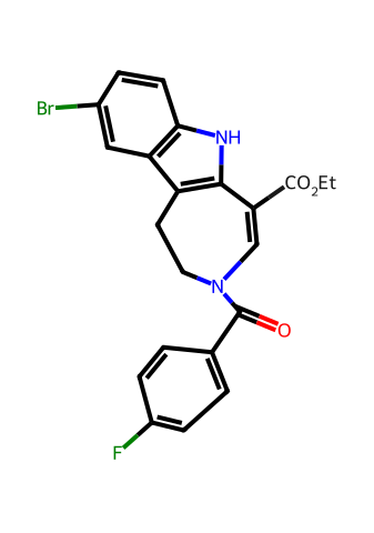 CCOC(=O)C1=CN(C(=O)c2ccc(F)cc2)CCc2c1[nH]c1ccc(Br)cc21